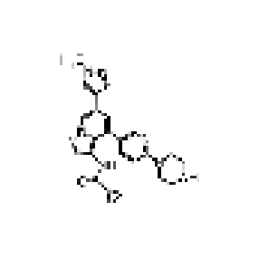 Cn1cc(-c2cc(-c3ccc(N4CCNCC4)nc3)c3c(NC(=O)C4CC4)cnn3c2)cn1